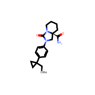 COCC1(c2ccc(N3C[C@@]4(C(N)=O)[CH]CCCN4C3=O)cc2)CC1